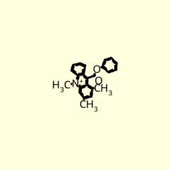 Cc1cc(C)c2c(C(=O)Oc3ccccc3)c3ccccc3[n+](C)c2c1